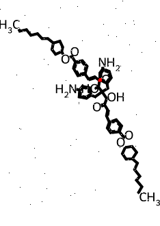 CCCCCCCC1CCC(OC(=O)c2ccc(/C=C/C(=O)C(O)C(Cc3ccc(N)cc3)(Cc3ccc(N)cc3)C(O)C(=O)/C=C/c3ccc(C(=O)OC4CCC(CCCCCCC)CC4)cc3)cc2)CC1